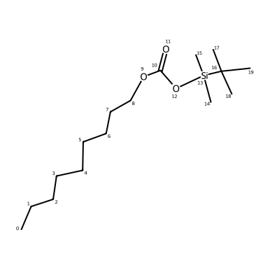 CCCCCCCCCOC(=O)O[Si](C)(C)C(C)(C)C